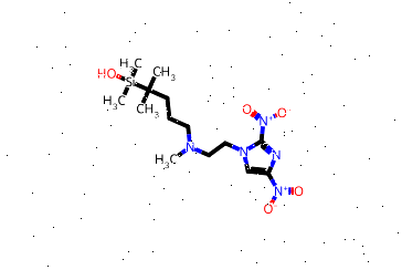 CN(CCCC(C)(C)[Si](C)(C)O)CCn1cc([N+](=O)[O-])nc1[N+](=O)[O-]